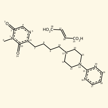 Cn1c(=O)cnn(CCCCN2CCN(c3ncccn3)CC2)c1=O.O=C(O)C=CC(=O)O